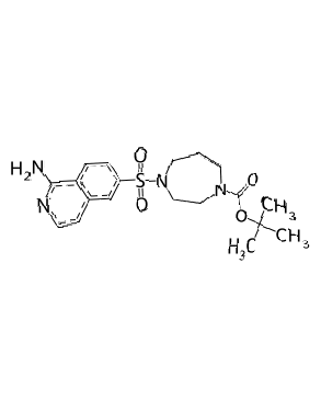 CC(C)(C)OC(=O)N1CCCN(S(=O)(=O)c2ccc3c(N)nccc3c2)CC1